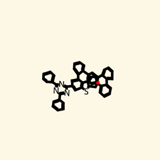 C1=CCC2Sc3cc(-c4nc(-c5ccccc5)nc(-c5ccccc5)n4)cc(-c4ccccc4-c4ccc5c6ccccc6c6ccccc6c5c4)c3C2=C1